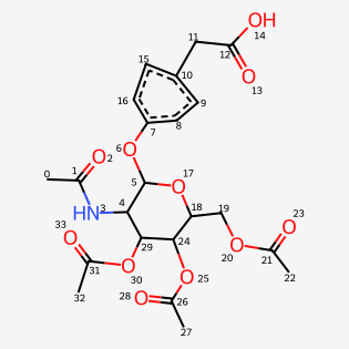 CC(=O)NC1C(Oc2ccc(CC(=O)O)cc2)OC(COC(C)=O)C(OC(C)=O)C1OC(C)=O